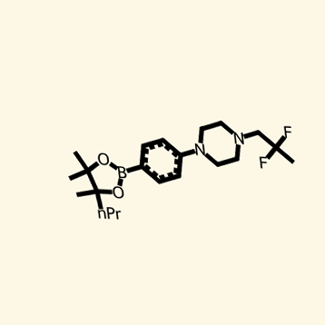 CCCC1(C)OB(c2ccc(N3CCN(CC(C)(F)F)CC3)cc2)OC1(C)C